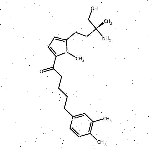 Cc1ccc(CCCCC(=O)c2ccc(CC[C@@](C)(N)CO)n2C)cc1C